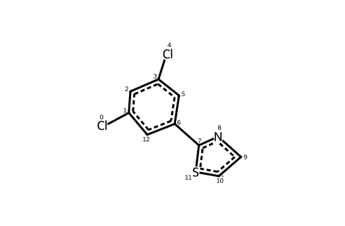 Clc1cc(Cl)cc(-c2nc[c]s2)c1